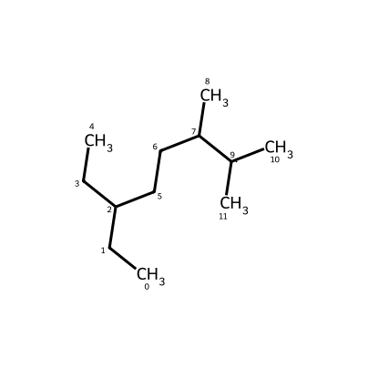 CCC(CC)CCC(C)[C](C)C